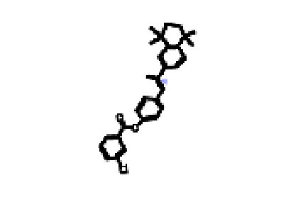 C/C(=C\c1ccc(OC(=O)c2cccc(Cl)c2)cc1)c1ccc2c(c1)C(C)(C)CCC2(C)C